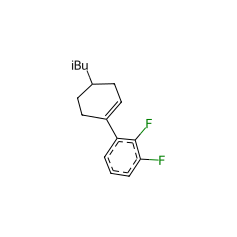 CCC(C)C1CC=C(c2cccc(F)c2F)CC1